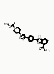 CC(C)(C)OC(=O)N1CCC(n2cc(-c3ccc(-c4nc5c(C(N)=O)cccc5[nH]4)cc3)nn2)CC1